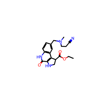 CCOC(=O)C1CNc2c1c1cc(CN(C)CCC#N)ccc1[nH]c2=O